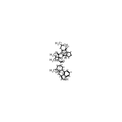 CC(C)C[C@H]1C(=O)N2CCC[C@H]2[C@]2(O)O[C@](NC(=O)[C@@H]3CC4c5cccc6[nH]cc(c56)C[C@H]4N(C)C3)(C(C)C)C(=O)N12